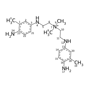 Cc1cc(NCC[N+](C)(C)CCNc2ccc(N)c(C)c2)ccc1N